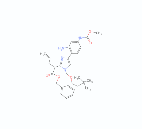 C=CCC(C(=O)OCc1ccccc1)c1nc(-c2ccc(NC(=O)OC)cc2N)cn1COCC[Si](C)(C)C